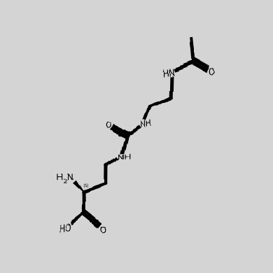 CC(=O)NCCNC(=O)NCC[C@H](N)C(=O)O